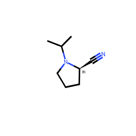 CC(C)N1CCC[C@@H]1C#N